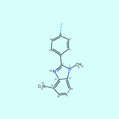 Cn1c(-c2ccc(F)cc2)nc2c([N+](=O)[O-])cccc21